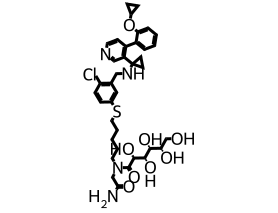 NC(=O)CN(CCCCCSc1ccc(Cl)c(CNC2(c3cnccc3-c3ccccc3OC3CC3)CC2)c1)C(=O)[C@@H](O)[C@@H](O)[C@H](O)[C@@H](O)CO